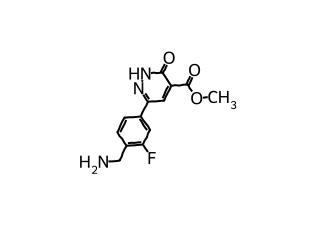 COC(=O)c1cc(-c2ccc(CN)c(F)c2)n[nH]c1=O